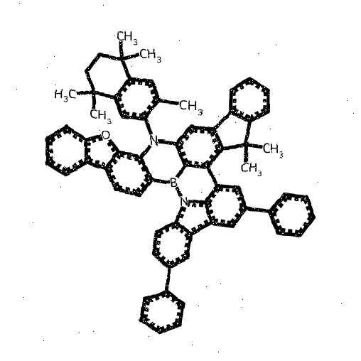 Cc1cc2c(cc1N1c3cc4c(c5c3B(c3ccc6c(oc7ccccc76)c31)n1c3ccc(-c6ccccc6)cc3c3cc(-c6ccccc6)cc-5c31)C(C)(C)c1ccccc1-4)C(C)(C)CCC2(C)C